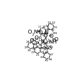 O=C(NC1C(=O)N(CP(C(=O)OCc2ccccc2[N+](=O)[O-])(c2ccccc2)(c2ccccc2)c2ccccc2)C1CC(=S)c1ccccc1)OCc1ccccc1[N+](=O)[O-]